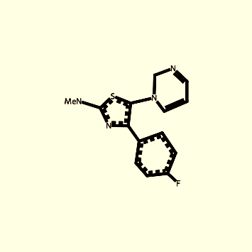 CNc1nc(-c2ccc(F)cc2)c(N2C=CC=NC2)s1